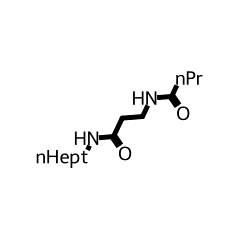 CCCCCCCNC(=O)CCNC(=O)CCC